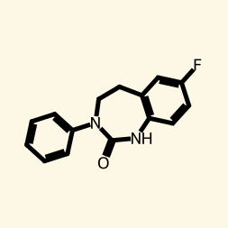 O=C1Nc2ccc(F)cc2CCN1c1ccccc1